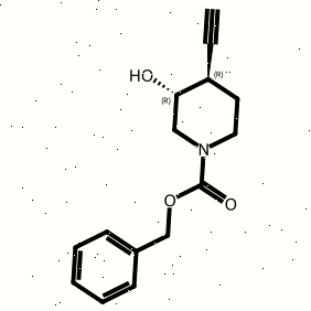 C#C[C@H]1CCN(C(=O)OCc2ccccc2)C[C@@H]1O